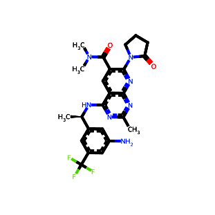 Cc1nc(N[C@H](C)c2cc(N)cc(C(F)(F)F)c2)c2cc(C(=O)N(C)C)c(N3CCCC3=O)nc2n1